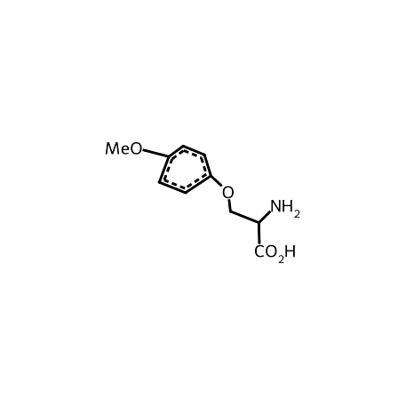 COc1ccc(OCC(N)C(=O)O)cc1